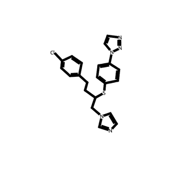 Clc1ccc(CCC(Cn2ccnc2)Sc2ccc(-n3ccnn3)cc2)cc1